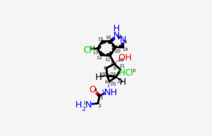 Cl.NCC(=O)N[C@@H]1[C@@H]2C[C@@](O)(c3cc(Cl)cc4[nH]ncc34)C[C@@H]21